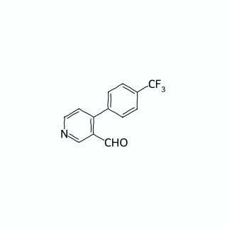 O=Cc1cnccc1-c1ccc(C(F)(F)F)cc1